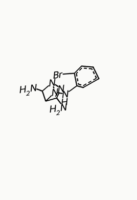 NC1=NN2C(N)C1N2Nc1ccccc1Br